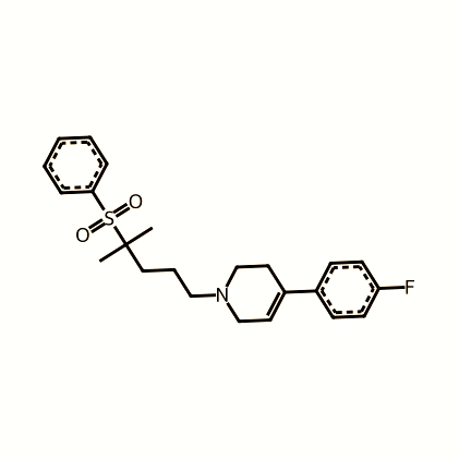 CC(C)(CCCN1CC=C(c2ccc(F)cc2)CC1)S(=O)(=O)c1ccccc1